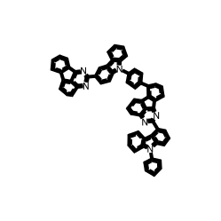 c1ccc(-n2c3ccccc3c3c(-c4nc5c6c(cccc6n4)-c4c(-c6ccc(-n7c8ccccc8c8cc(-c9nc%10c%11c(cccc%11n9)-c9ccccc9-%10)ccc87)cc6)cccc4-5)cccc32)cc1